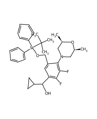 C[C@@H]1CN(c2c(CO[Si](c3ccccc3)(c3ccccc3)C(C)(C)C)cc(C(O)C3CC3)c(F)c2F)C[C@H](C)O1